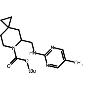 Cc1cnc(NCC2CC3(CCN2C(=O)OC(C)(C)C)CC3)nc1